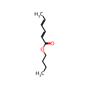 C/C=C/C=C/C(=O)OCCCC